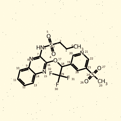 CCCS(=O)(=O)Nc1nc2ccccc2nc1OC(c1cncc(S(C)(=O)=O)c1)C(F)(F)F